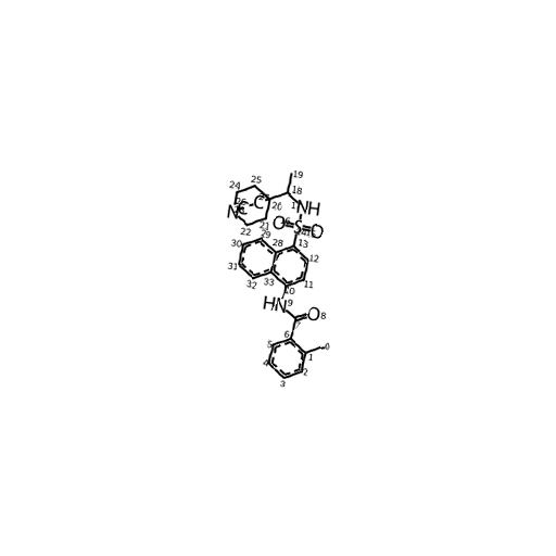 Cc1ccccc1C(=O)Nc1ccc(S(=O)(=O)NC(C)C23CCN(CC2)CC3)c2ccccc12